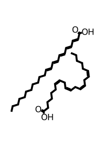 CCCCC/C=C\C/C=C\C/C=C\C/C=C\CCCCCC(=O)O.CCCCCCCCCCCC=CC=CC=CC=CC=CC(=O)O